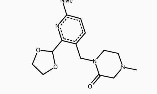 CNc1ccc(CN2CCN(C)CC2=O)c(C2OCCO2)n1